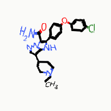 CC=CN1CCC(c2cnn3c(C(N)=O)c(-c4ccc(Oc5ccc(Cl)cc5)cc4)[nH]c23)CC1